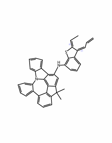 C=C/C=c1\c(=C/C)sc2c(Nc3cc4c5c6c3c3ccccc3n6-c3ccccc3-c3cccc(c3-5)C4(C)C)cccc12